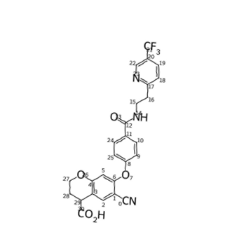 N#Cc1cc2c(cc1Oc1ccc(C(=O)NCCc3ccc(C(F)(F)F)cn3)cc1)OCCC2C(=O)O